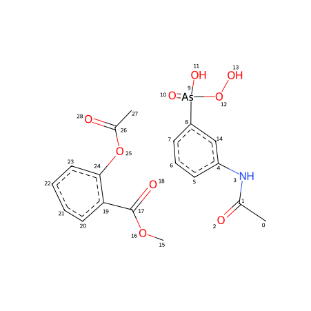 CC(=O)Nc1cccc([As](=O)(O)OO)c1.COC(=O)c1ccccc1OC(C)=O